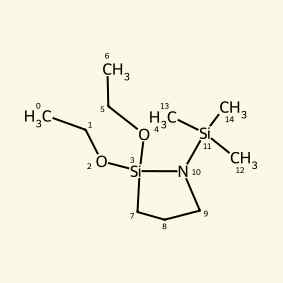 CCO[Si]1(OCC)CCCN1[Si](C)(C)C